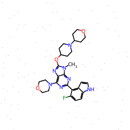 Cn1c(OC2CCN(C3CCOCC3)CC2)nc2c(N3CCOCC3)nc(-c3c(F)ccc4[nH]ccc34)nc21